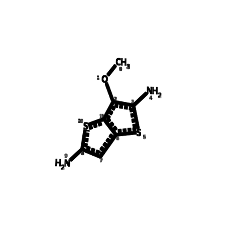 COc1c(N)sc2cc(N)sc12